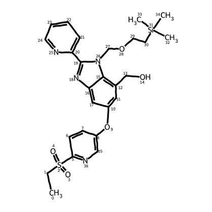 CCS(=O)(=O)c1ccc(Oc2cc(CO)c3c(c2)nc(-c2ccccn2)n3COCC[Si](C)(C)C)cn1